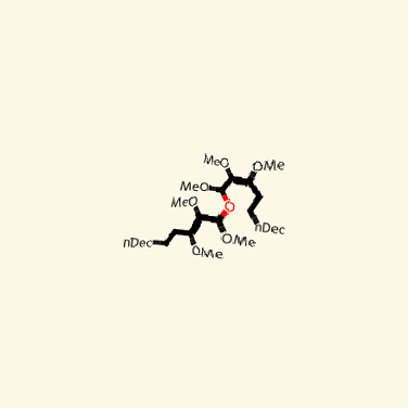 CCCCCCCCCCCCC(OC)=C(OC)C(OC)OC(OC)C(OC)=C(CCCCCCCCCCCC)OC